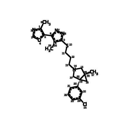 Cc1ncoc1-c1nnc(SCCCN2C[C@]3(C)C[C@@]3(c3cccc(Cl)c3)C2)n1C